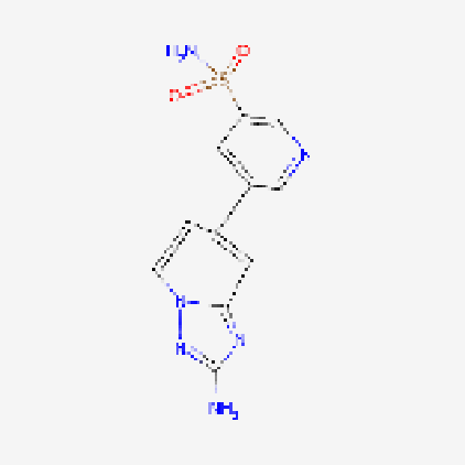 Nc1nc2cc(-c3cncc(S(N)(=O)=O)c3)ccn2n1